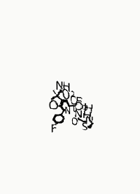 C[C@]1(C(N)=O)COc2c1cc([C@@](O)(CNC(=O)c1nccs1)C(F)(F)F)nc2-c1ccc(F)cc1